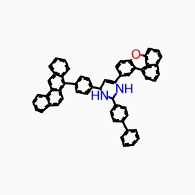 C1=C(c2ccc3c(c2)-c2cccc4cccc(c24)O3)NC(c2ccc(-c3ccccc3)cc2)NC1c1ccc(-c2c3ccccc3cc3c2ccc2ccccc23)cc1